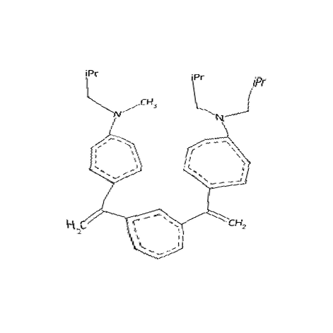 C=C(c1ccc(N(C)CC(C)C)cc1)c1cccc(C(=C)c2ccc(N(CC(C)C)CC(C)C)cc2)c1